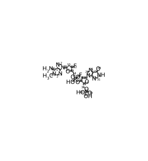 CN1C=Nc2c(ncn2[C@H]2C[C@@H](F)[C@@H](COP(=O)(O)O[C@H]3[C@@H](F)[C@H](n4cnc5c(=O)[nH]cnc54)O[C@@H]3COP(=O)(O)O)O2)C1N